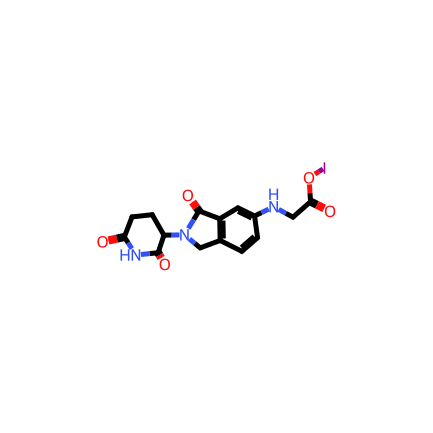 O=C1CCC(N2Cc3ccc(NCC(=O)OI)cc3C2=O)C(=O)N1